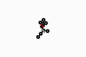 c1ccc(-c2ccc(-c3nc(-c4ccccc4)cc(-c4ccc(-c5cccc6c5C(c5ccccc5)(c5ccccc5)c5ccccc5-6)cc4)n3)cc2)cc1